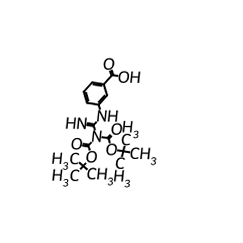 CC(C)(C)OC(=O)N(C(=N)Nc1cccc(C(=O)O)c1)C(=O)OC(C)(C)C